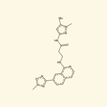 Cc1nc(-c2ccc3ccnc(NCCC(=O)Nc4cc(C(C)(C)C)n(C)n4)c3c2)no1